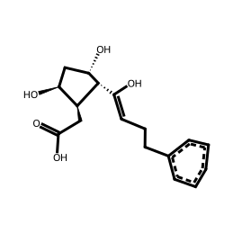 O=C(O)C[C@@H]1[C@@H](C(O)=CCCc2ccccc2)[C@@H](O)C[C@@H]1O